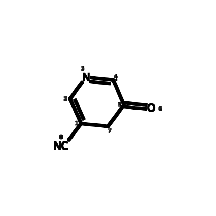 N#CC1=CN=[C]C(=O)C1